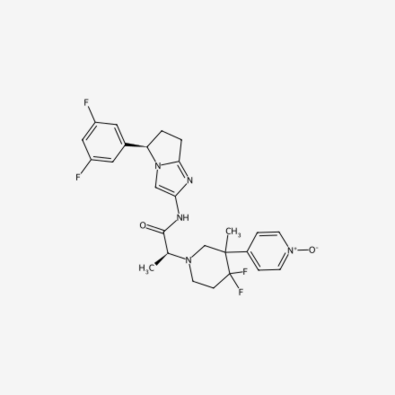 C[C@@H](C(=O)Nc1cn2c(n1)CC[C@@H]2c1cc(F)cc(F)c1)N1CCC(F)(F)C(C)(c2cc[n+]([O-])cc2)C1